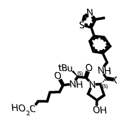 Cc1ncsc1-c1ccc(CNC(=O)[C@@H]2CC(O)CN2C(=O)[C@@H](NC(=O)CCCCC(=O)O)C(C)(C)C)cc1